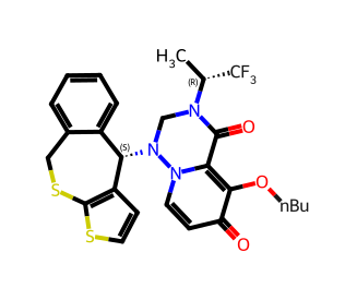 CCCCOc1c2n(ccc1=O)N([C@H]1c3ccccc3CSc3sccc31)CN([C@H](C)C(F)(F)F)C2=O